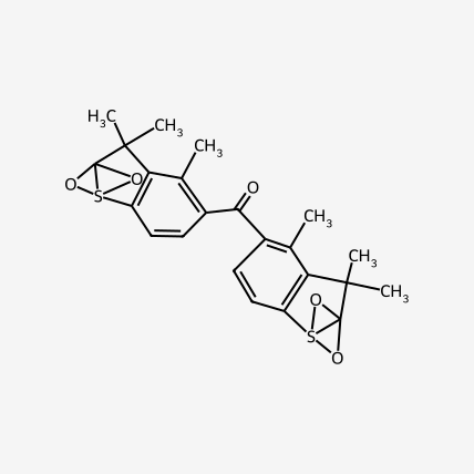 Cc1c(C(=O)c2ccc3c(c2C)C(C)(C)C24OS32O4)ccc2c1C(C)(C)C13OS21O3